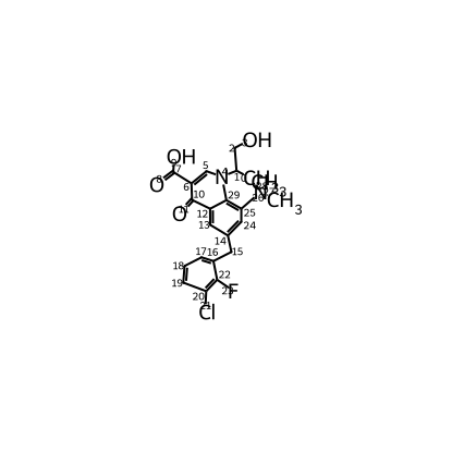 CC(CO)n1cc(C(=O)O)c(=O)c2cc(Cc3cccc(Cl)c3F)cc(N(C)C)c21